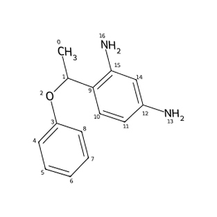 CC(Oc1ccccc1)c1ccc(N)cc1N